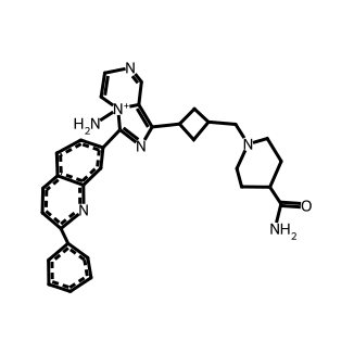 NC(=O)C1CCN(CC2CC(C3=C4C=NC=C[N+]4(N)C(c4ccc5ccc(-c6ccccc6)nc5c4)=N3)C2)CC1